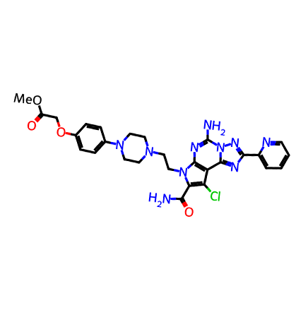 COC(=O)COc1ccc(N2CCN(CCn3c(C(N)=O)c(Cl)c4c3nc(N)n3nc(-c5ccccn5)nc43)CC2)cc1